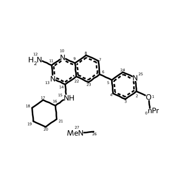 CCCOc1ccc(-c2ccc3nc(N)nc(NC4CCCCC4)c3c2)cn1.CNC